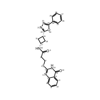 O=C(CCSc1nc2ccccc2c(=O)[nH]1)N[C@H]1C[C@@H](c2nnc(-c3ccccc3)o2)C1